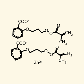 C=C(C)C(=O)OOCCCOc1ccccc1C(=O)[O-].C=C(C)C(=O)OOCCCOc1ccccc1C(=O)[O-].[Zn+2]